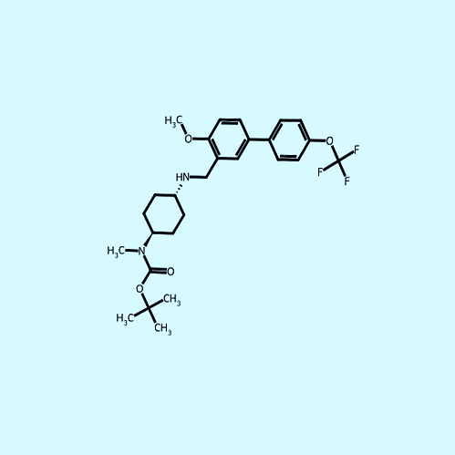 COc1ccc(-c2ccc(OC(F)(F)F)cc2)cc1CN[C@H]1CC[C@H](N(C)C(=O)OC(C)(C)C)CC1